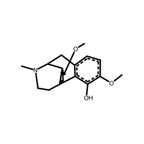 COC1=CCCC23CCN(C)C(Cc4ccc(OC)c(O)c42)C13